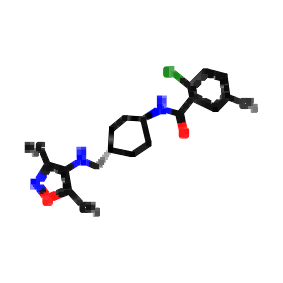 Cc1noc(C)c1NC[C@H]1CC[C@H](NC(=O)c2cc(C(F)(F)F)ccc2Cl)CC1